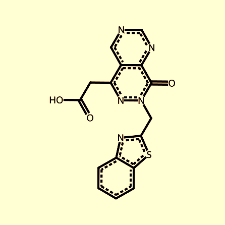 O=C(O)Cc1nn(Cc2nc3ccccc3s2)c(=O)c2ncncc12